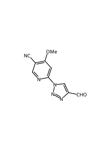 COc1cc(-n2cc(C=O)nn2)ncc1C#N